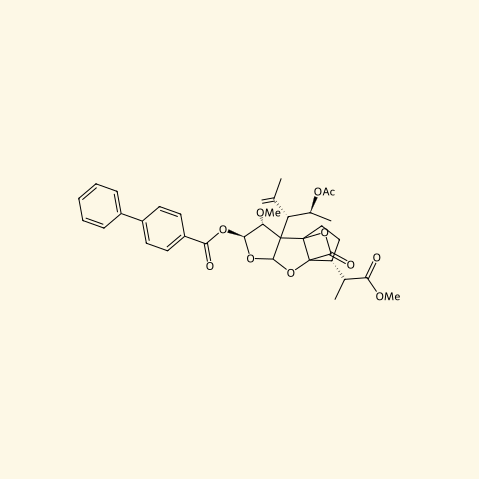 C=C(C)[C@H]([C@H](C)OC(C)=O)C12C(O[C@@H](OC(=O)c3ccc(-c4ccccc4)cc3)[C@@H]1OC)OC13C(=O)OC12CC[C@@H]3C(C)C(=O)OC